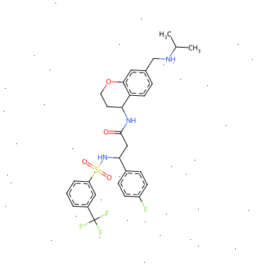 CC(C)NCc1ccc2c(c1)OCCC2NC(=O)CC(NS(=O)(=O)c1cccc(C(F)(F)F)c1)c1ccc(F)cc1